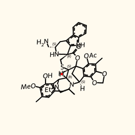 CCN1CC2(C)Cc3cc(C)c(OC)c(O)c3C1[C@@H]1[C@@H]3SC[C@]4(N[C@H](CN)Cc5c4[nH]c4ccccc54)C(=O)OC34C[C@@H](c3c5c(c(C)c(OC(C)=O)c34)OCO5)N12